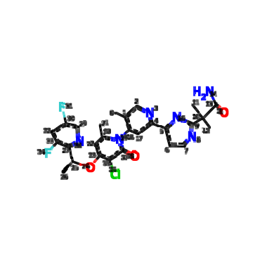 Cc1cnc(-c2ccnc(C(C)(C)C(N)=O)n2)cc1-n1c(C)cc(O[C@@H](C)c2ncc(F)cc2F)c(Cl)c1=O